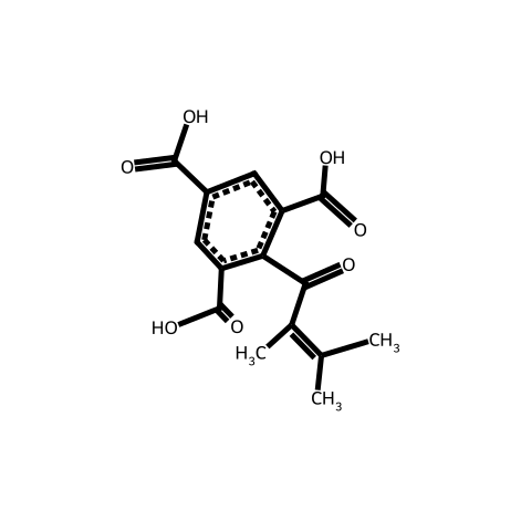 CC(C)=C(C)C(=O)c1c(C(=O)O)cc(C(=O)O)cc1C(=O)O